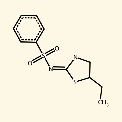 CCC1C[N]C(=NS(=O)(=O)c2ccccc2)S1